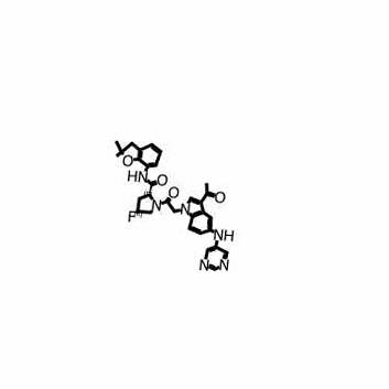 CC(=O)c1cn(CC(=O)N2C[C@H](F)C[C@H]2C(=O)Nc2cccc3c2OC(C)(C)C3)c2ccc(Nc3cncnc3)cc12